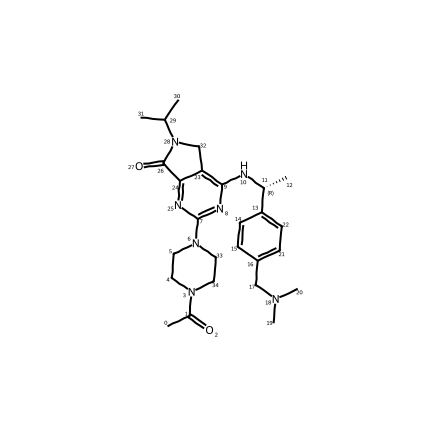 CC(=O)N1CCN(c2nc(N[C@H](C)c3ccc(CN(C)C)cc3)c3c(n2)C(=O)N(C(C)C)C3)CC1